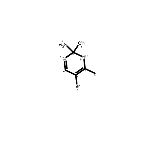 CC1=C(Br)C=NC(N)(O)N1